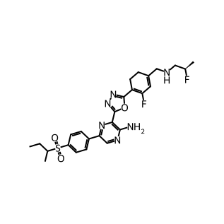 CCC(C)S(=O)(=O)c1ccc(-c2cnc(N)c(-c3nnc(C4=C(F)C=C(CNC[C@@H](C)F)CC4)o3)n2)cc1